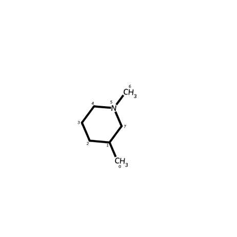 CC1C[CH]CN(C)C1